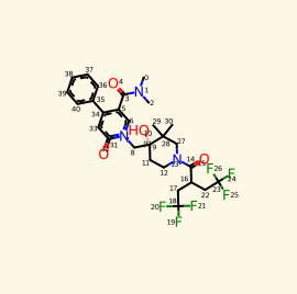 CN(C)C(=O)c1cn(C[C@]2(O)CCN(C(=O)C(CC(F)(F)F)CC(F)(F)F)CC2(C)C)c(=O)cc1-c1ccccc1